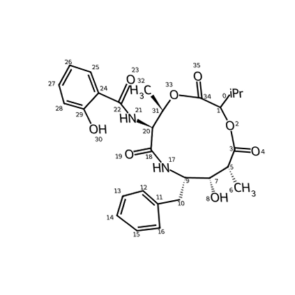 CC(C)C1OC(=O)[C@H](C)[C@H](O)[C@H](Cc2ccccc2)NC(=O)[C@@H](NC(=O)c2ccccc2O)[C@@H](C)OC1=O